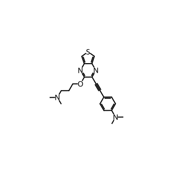 CN(C)CCCOc1nc2cscc2nc1C#Cc1ccc(N(C)C)cc1